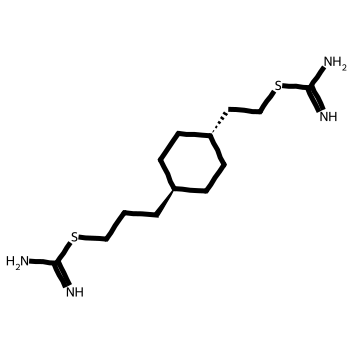 N=C(N)SCCC[C@H]1CC[C@H](CCSC(=N)N)CC1